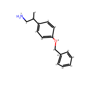 CC(CN)c1ccc(OCc2ccccc2)cc1